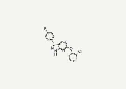 Fc1ccc(-c2n[nH]c3nc(Oc4ccccc4Cl)ncc23)cc1